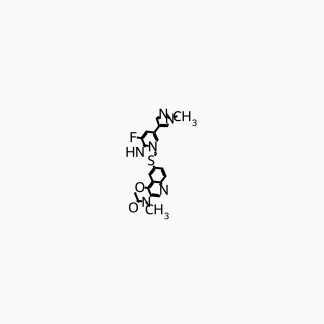 CN1C(=O)COc2c1cnc1ccc(SCn3cc(-c4cnn(C)c4)cc(F)c3=N)cc21